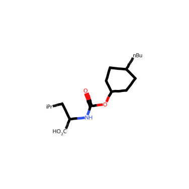 CCCCC1CCC(OC(=O)NC(CC(C)C)C(=O)O)CC1